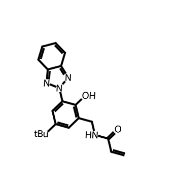 C=CC(=O)NCc1cc(C(C)(C)C)cc(-n2nc3ccccc3n2)c1O